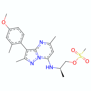 COc1ccc(-c2c(C)nn3c(N[C@H](C)COS(C)(=O)=O)cc(C)nc23)c(C)c1